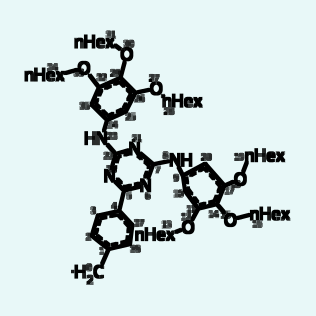 [CH2]c1ccc(-c2nc(Nc3cc(OCCCCCC)c(OCCCCCC)c(OCCCCCC)c3)nc(Nc3cc(OCCCCCC)c(OCCCCCC)c(OCCCCCC)c3)n2)cc1